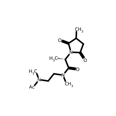 CC(=O)N(C)CCN(C)C(=O)[C@H](C)N1C(=O)CC(C)C1=O